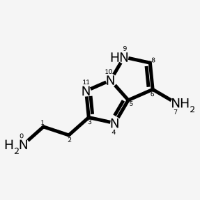 NCCc1nc2c(N)c[nH]n2n1